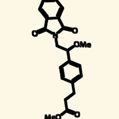 COC(=O)CCc1ccc(C(CN2C(=O)c3ccccc3C2=O)OC)cc1